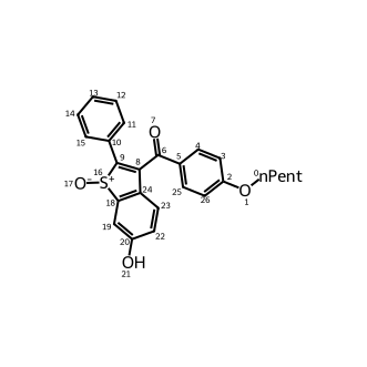 CCCCCOc1ccc(C(=O)c2c(-c3ccccc3)[s+]([O-])c3cc(O)ccc23)cc1